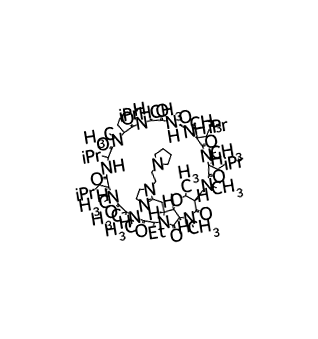 CCC1C(=O)N(C)[C@H](C)C(=O)N(C)[C@@H](CC(C)C)C(=O)NC(C(C)C)C(=O)N(C)C(CC(C)C)C(=O)N[C@H](C)C(=O)NC(=O)N(C)[C@H](CC(C)C)C(=O)N(C)[C@@H](CC(C)C)C(=O)N(C)[C@@H]2C(=O)N(C)[C@@H]3C(=O)N1[C@H](CC1=NCCN1CCN1CCCC1)[C@H]3OC2C